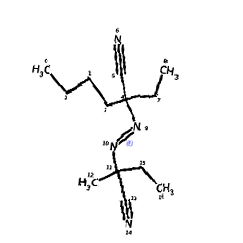 CCCCC(C#N)(CC)/N=N/C(C)(C#N)CC